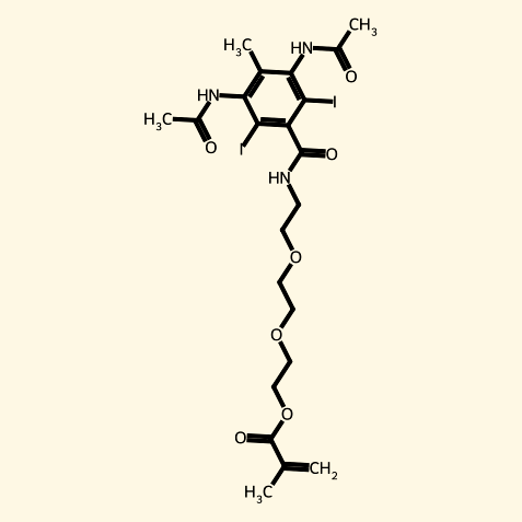 C=C(C)C(=O)OCCOCCOCCNC(=O)c1c(I)c(NC(C)=O)c(C)c(NC(C)=O)c1I